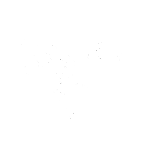 CNCCCC[C@H](NC(C)=O)C(=O)NCCNC(=O)[C@H](CCN(C(=O)CO)[C@@H](c1cc(-c2cc(F)ccc2F)cn1Cc1ccccc1)C(C)(C)C)NC(=O)[C@H](CC(N)=O)NC(=O)[C@@H](C)NC(=O)[C@H](C)NC(=O)Cc1ccncc1